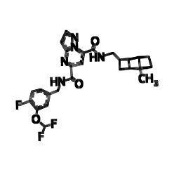 CC12C3C4C1C1C2C3C41CNC(=O)c1cc(C(=O)NCc2ccc(F)c(OC(F)F)c2)nc2ccnn12